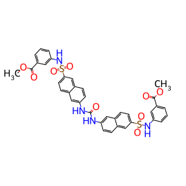 COC(=O)c1cccc(NS(=O)(=O)c2ccc3cc(NC(=O)Nc4ccc5cc(S(=O)(=O)Nc6cccc(C(=O)OC)c6)ccc5c4)ccc3c2)c1